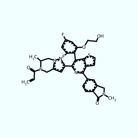 C=CC(=O)N1Cc2cc(-c3nc(-c4ccc5c(c4)CN(C)C5=O)c4ccsc4c3-c3c(F)cc(F)cc3OCCO)nn2CC1C